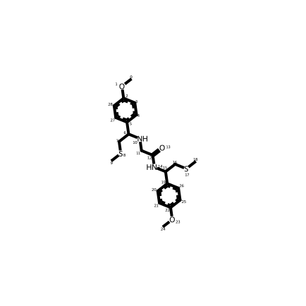 COc1ccc(C(CSC)NCC(=O)NC(CSC)c2ccc(OC)cc2)cc1